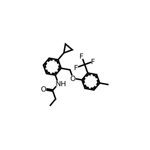 CCC(=O)Nc1cccc(C2CC2)c1COc1ccc(C)cc1C(F)(F)F